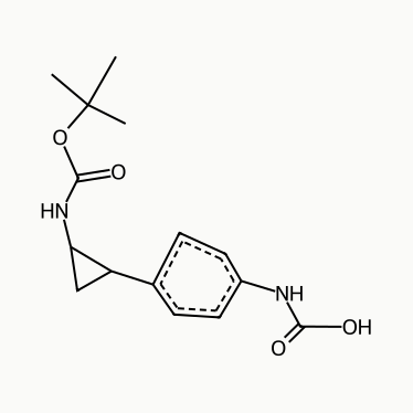 CC(C)(C)OC(=O)NC1CC1c1ccc(NC(=O)O)cc1